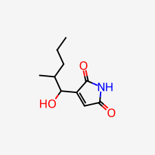 CCCC(C)C(O)C1=CC(=O)NC1=O